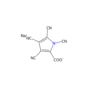 N#Cc1c(C#N)c(C(=O)[O-])n(C#N)c1C#N.[Na+]